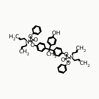 C=CCN(CC=C)P(=O)(Oc1ccccc1)Oc1ccc(C(C)(c2ccc(O)cc2)c2ccc(OP(=O)(Oc3ccccc3)N(CC=C)CC=C)cc2)cc1